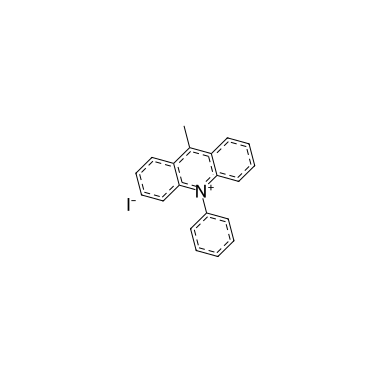 Cc1c2ccccc2[n+](-c2ccccc2)c2ccccc12.[I-]